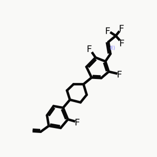 C=Cc1ccc(C2CCC(c3cc(F)c(/C=C/C(F)(F)F)c(F)c3)CC2)c(F)c1